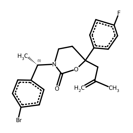 C=C(C)CC1(c2ccc(F)cc2)CCN([C@@H](C)c2ccc(Br)cc2)C(=O)O1